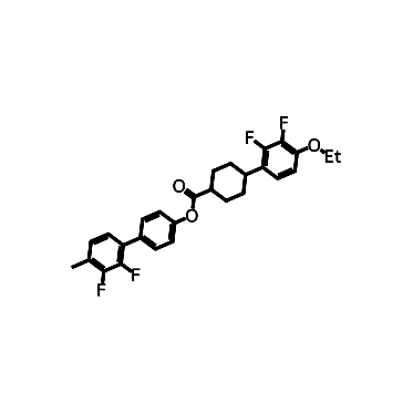 CCOc1ccc(C2CCC(C(=O)Oc3ccc(-c4ccc(C)c(F)c4F)cc3)CC2)c(F)c1F